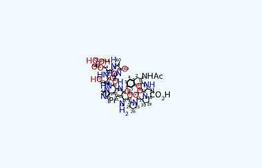 CC(=O)N[C@@H](Cc1ccccc1)C(=O)N[C@@H](CC(=O)O)C(=O)N1CCCC1C(=O)N1CCC[C@H]1C(=O)C(N)[C@@H](CC(C)C)C(=O)N[C@@H](Cc1cnc[nH]1)C(=O)N[C@@H](CO)C(=O)N[C@H](C(=O)NC(C)C(N)=O)[C@@H](C)OP(=O)(O)O